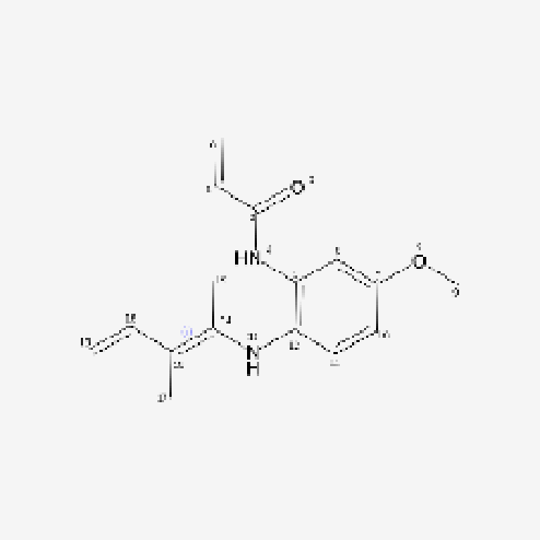 C=CC(=O)Nc1cc(OC)ccc1N/C(C)=C(\C)C=C